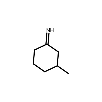 CC1CCCC(=N)C1